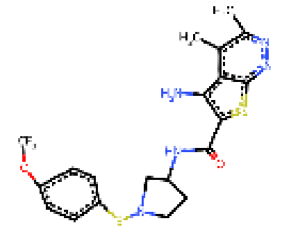 Cc1nnc2sc(C(=O)NC3CCN(Sc4ccc(OC(F)(F)F)cc4)C3)c(N)c2c1C